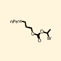 CCCCCCCCOC(=O)OC(C)Br